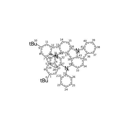 CC(C)(C)c1ccc2c(c1)c1cc(C(C)(C)C)cc3c4ccc5c(c6c(N(c7ccccc7)c7ccccc7)ccc7c8ccccc8n5c76)c4n2c13